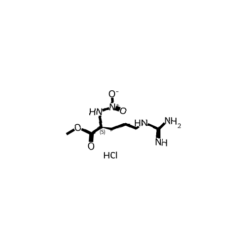 COC(=O)[C@H](CCCNC(=N)N)N[N+](=O)[O-].Cl